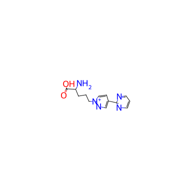 NC(CCC[n+]1ccc(-c2ncccn2)cn1)C(=O)O